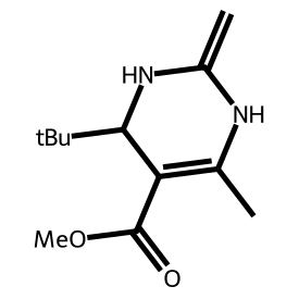 C=C1NC(C)=C(C(=O)OC)C(C(C)(C)C)N1